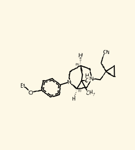 CCOc1ccc(N2C[C@H]3CN(CC4(CC#N)CC4)C[C@@H]2C(C)(C)C3)cc1